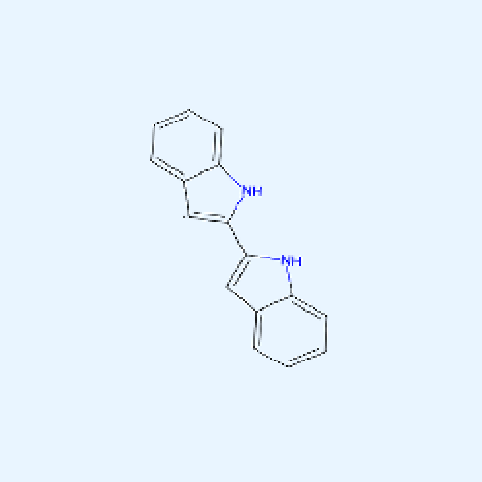 [c]1c(-c2cc3ccccc3[nH]2)[nH]c2ccccc12